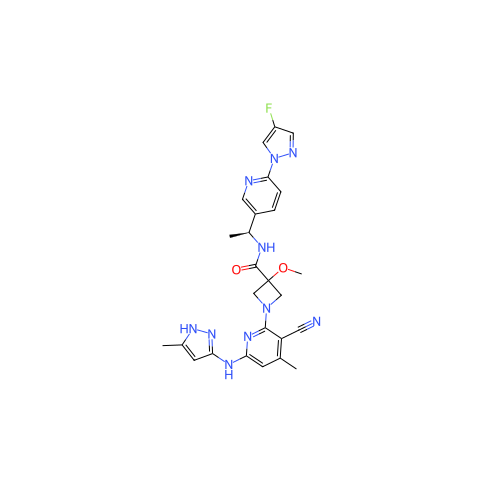 COC1(C(=O)N[C@@H](C)c2ccc(-n3cc(F)cn3)nc2)CN(c2nc(Nc3cc(C)[nH]n3)cc(C)c2C#N)C1